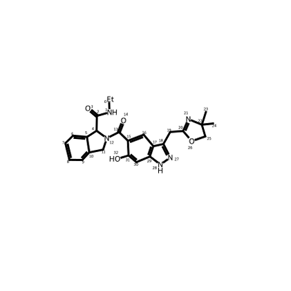 CCNC(=O)C1c2ccccc2CN1C(=O)c1cc2c(CC3=NC(C)(C)CO3)n[nH]c2cc1O